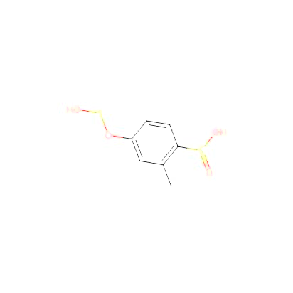 Cc1cc(OSO)ccc1S(=O)O